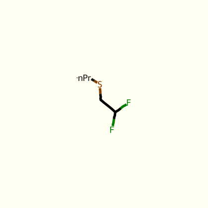 CC[CH]SCC(F)F